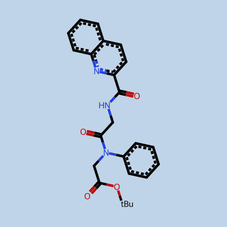 CC(C)(C)OC(=O)CN(C(=O)CNC(=O)c1ccc2ccccc2n1)c1ccccc1